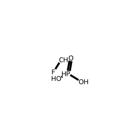 CF.O=[PH](O)O